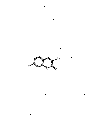 CCc1ccc2cc(C(C)=O)c(=O)oc2c1